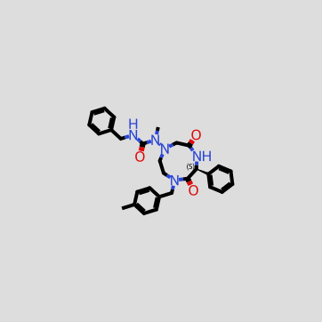 Cc1ccc(CN2CCN(N(C)C(=O)NCc3ccccc3)CC(=O)N[C@@H](c3ccccc3)C2=O)cc1